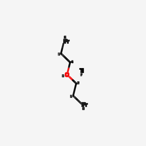 CC(C)CCOCCC(C)C.[Ti]